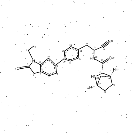 CCN1C(=O)Cc2ccc(-c3ccc(CC(C#N)NC(=O)[C@H]4N[C@@H]5CC[C@H]4C5)cc3)cc21